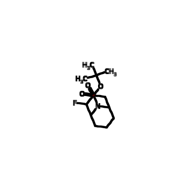 CC(C)(C)OC(=O)N1C2CCCC1C(F)C(=O)C2